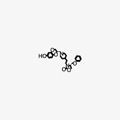 O=C1OC[C@@H](COc2ccccc2)N1CCC1CCN(C[C@H]2COc3cc(O)ccc3O2)CC1